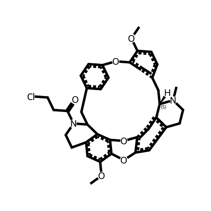 COc1ccc2cc1Oc1ccc(cc1)CC1c3c(cc(OC)c4c3Oc3cc5c(cc3O4)CCN(C)[C@H]5C2)CCN1C(=O)CCCl